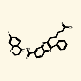 O=C(O)CCCCc1nc2cc(C(=O)N[C@@H]3CCOc4cc(F)ccc43)ccc2nc1-c1ccccc1